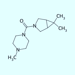 CN1CCN(C(=O)N2CC3C(C2)C3(C)C)CC1